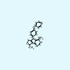 CC1OCc2c1c1ncnc(N)c1n2-c1ccc(Oc2ccncc2)cc1